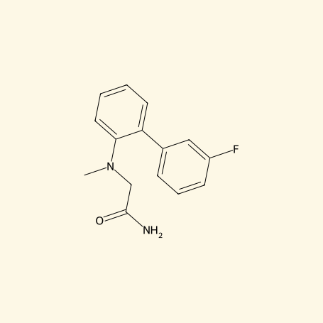 CN(CC(N)=O)c1ccccc1-c1cccc(F)c1